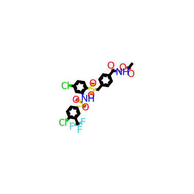 CC(=O)ONC(=O)c1ccc(CS(=O)(=O)c2ccc(Cl)cc2NS(=O)(=O)c2ccc(Cl)c(C(F)(F)F)c2)cc1